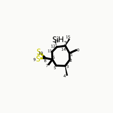 CC1C[C@@H](C)CC(C)(C2SS2)C[C@H]([SiH3])[C@H]1C